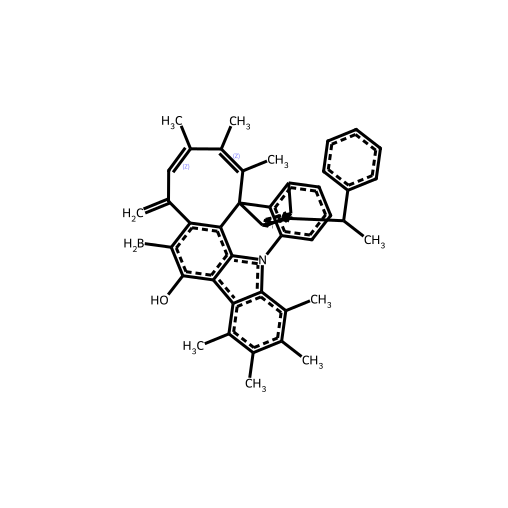 Bc1c2c3c4c(c1O)c1c(C)c(C)c(C)c(C)c1n4-c1cccc4c1C3(/C(C)=C(C)\C(C)=C/C2=C)c1cccc(C(C)c2ccccc2)c1-4